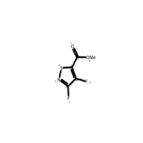 COC(=O)c1snc(F)c1F